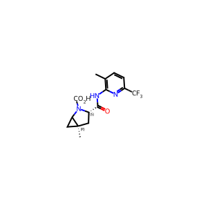 Cc1ccc(C(F)(F)F)nc1NC(=O)[C@@H]1C[C@@]2(C)CC2N1C(=O)O